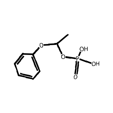 CC(Oc1ccccc1)OP(=O)(O)O